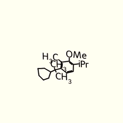 COc1c(C(C)C)ccc(C(C)(C)C2CCCCC2)c1C